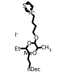 CCCCCCCCCCCCCC(CC)OC(OCCCC[n+]1ccsc1)C(C)OC.[I-]